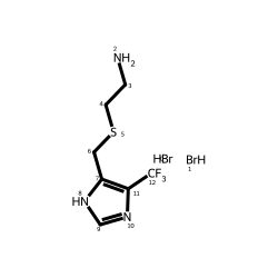 Br.Br.NCCSCc1[nH]cnc1C(F)(F)F